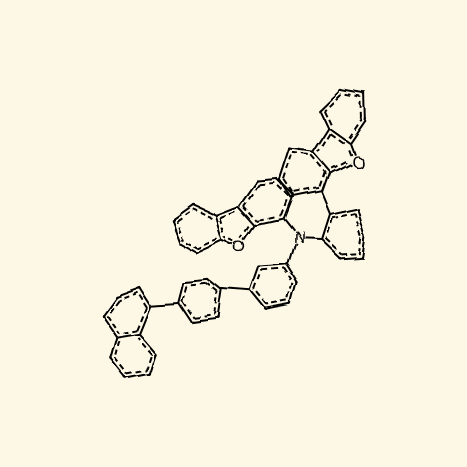 c1cc(-c2ccc(-c3cccc4ccccc34)cc2)cc(N(c2ccccc2-c2cccc3c2oc2ccccc23)c2cccc3c2oc2ccccc23)c1